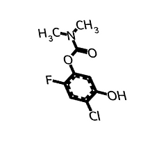 CN(C)C(=O)Oc1cc(O)c(Cl)cc1F